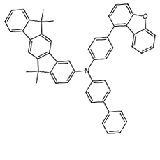 CC1(C)c2ccccc2-c2cc3c(cc21)-c1cc(N(c2ccc(-c4ccccc4)cc2)c2ccc(-c4cccc5oc6ccccc6c45)cc2)ccc1C3(C)C